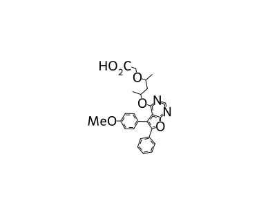 COc1ccc(-c2c(-c3ccccc3)oc3ncnc(OC(C)CC(C)OCC(=O)O)c23)cc1